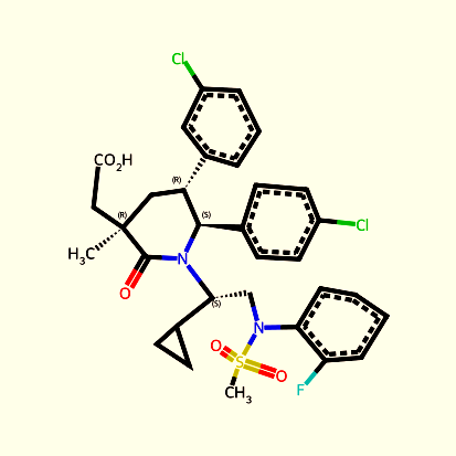 C[C@]1(CC(=O)O)C[C@H](c2cccc(Cl)c2)[C@@H](c2ccc(Cl)cc2)N([C@H](CN(c2ccccc2F)S(C)(=O)=O)C2CC2)C1=O